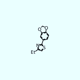 CCc1csc(-c2ccc3c(c2)OCO3)n1